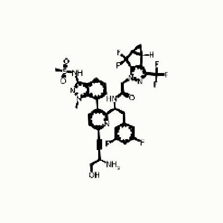 Cn1nc(NS(C)(=O)=O)c2cccc(-c3ccc(C#C[C@@H](N)CO)nc3C(Cc3cc(F)cc(F)c3)NC(=O)Cn3nc(C(F)(F)F)c4c3C(F)(F)C3C[C@H]43)c21